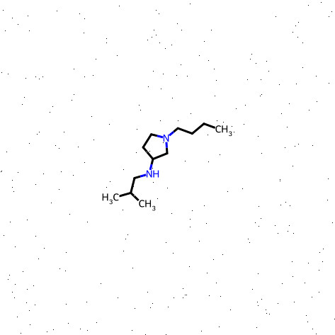 CCCCN1CCC(NCC(C)C)C1